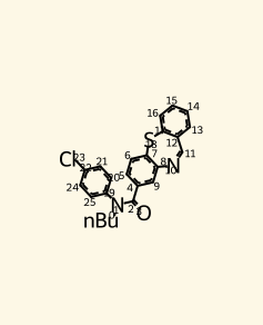 CCCCN(C(=O)c1ccc2c(c1)N=Cc1ccccc1S2)c1ccc(Cl)cc1